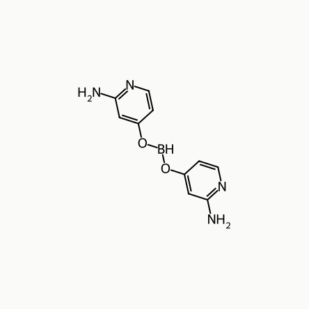 Nc1cc(OBOc2ccnc(N)c2)ccn1